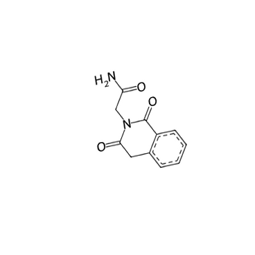 NC(=O)CN1C(=O)Cc2ccccc2C1=O